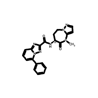 CN1C(=O)[C@@H](NC(=O)c2nc3cccc(-c4ccccc4)n3n2)CCn2nccc21